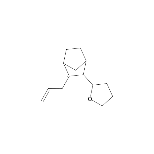 C=CC[C]1C2CCC(C2)C1C1CCCO1